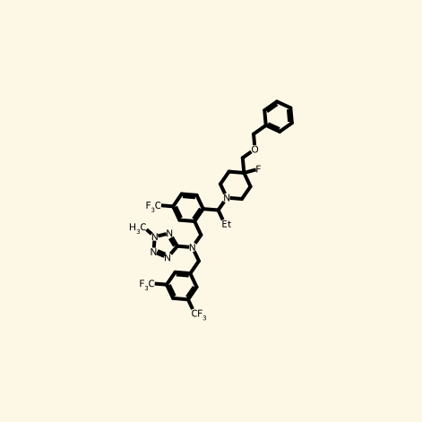 CCC(c1ccc(C(F)(F)F)cc1CN(Cc1cc(C(F)(F)F)cc(C(F)(F)F)c1)c1nnn(C)n1)N1CCC(F)(COCc2ccccc2)CC1